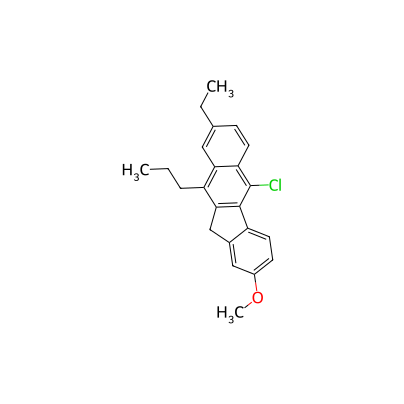 CCCc1c2c(c(Cl)c3ccc(CC)cc13)-c1ccc(OC)cc1C2